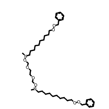 CN(CCCCCCCCCCOOCc1ccccc1)OCOCCOCON(C)CCCCCCCCCCOOCc1ccccc1